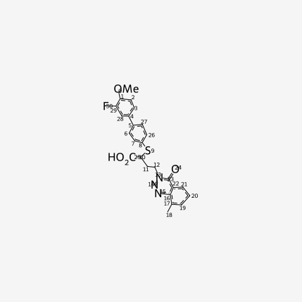 COc1ccc(-c2ccc(SC(CCn3nnc4c(C)cccc4c3=O)C(=O)O)cc2)cc1F